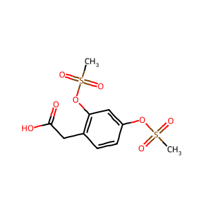 CS(=O)(=O)Oc1ccc(CC(=O)O)c(OS(C)(=O)=O)c1